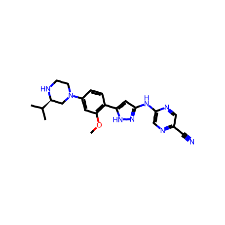 COc1cc(N2CCN[C@H](C(C)C)C2)ccc1-c1cc(Nc2cnc(C#N)cn2)n[nH]1